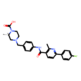 Cc1nc(-c2ccc(F)cc2)ccc1C(=O)Nc1ccc(CN2CCN(C(=O)O)[C@@H](C)C2)cc1